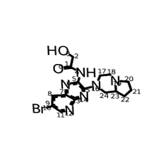 O=C(CO)Nc1nc2cc(Br)cnc2nc1N1CCN2CCCC2C1